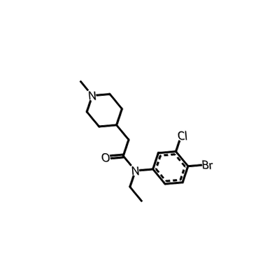 CCN(C(=O)CC1CCN(C)CC1)c1ccc(Br)c(Cl)c1